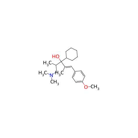 COc1ccc(C=C(C)C(O)(C(C)CN(C)C)C2CCCCC2)cc1